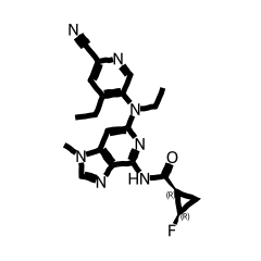 CCc1cc(C#N)ncc1N(CC)c1cc2c(ncn2C)c(NC(=O)[C@H]2C[C@H]2F)n1